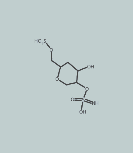 N=S(=O)(O)OC1COC(COS(=O)(=O)O)CC1O